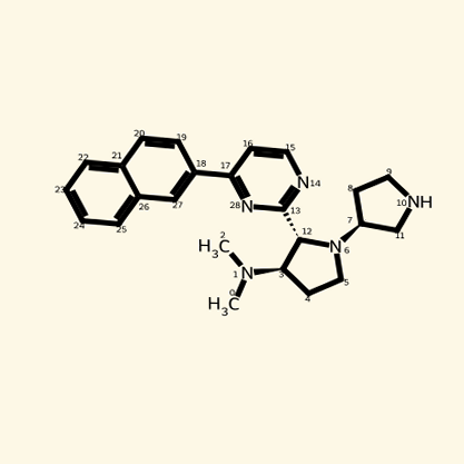 CN(C)[C@@H]1CCN([C@H]2CCNC2)[C@H]1c1nccc(-c2ccc3ccccc3c2)n1